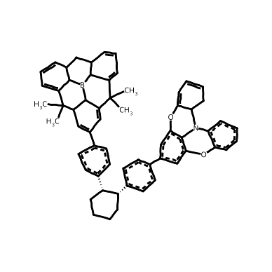 CC1(C)C2=CC=CC3CC4C=CC=C5C4B(C23)C2C1=CC(c1ccc([C@H]3CCCC[C@H]3c3ccc(-c4cc6c7c(c4)Oc4ccccc4N7C4CC=CC=C4O6)cc3)cc1)=CC2C5(C)C